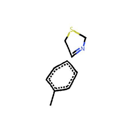 C1=NCSC1.Cc1ccccc1